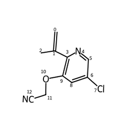 C=C(C)c1ncc(Cl)cc1OCC#N